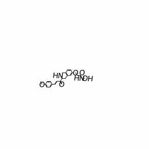 COc1ccc(/C=C/C(=O)C2Cc3cc(OCC(=O)NO)ccc3CN2)cc1